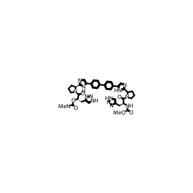 CNC(=O)O[C@@H](Cc1c[nH]nn1)C(=O)N1CCC[C@H]1c1ncc(-c2ccc(-c3ccc(-c4cnc(C5CCCN5C(=O)[C@H](Cc5c[nH]nn5)NC(=O)OC)[nH]4)cc3)cc2)[nH]1